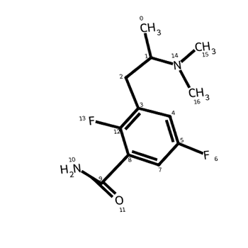 CC(Cc1cc(F)cc(C(N)=O)c1F)N(C)C